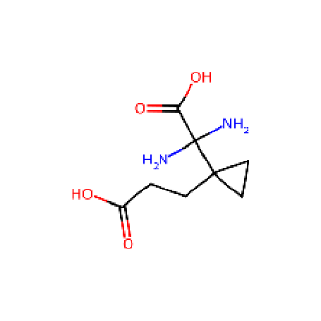 NC(N)(C(=O)O)C1(CCC(=O)O)CC1